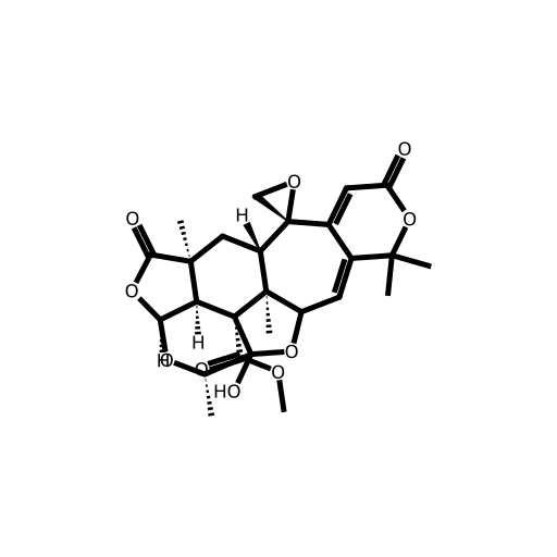 COC(=O)[C@@]12[C@H]3[C@@H]4OC(=O)[C@@]3(C)C[C@@H]3[C@@]5(CO5)C5=CC(=O)OC(C)(C)C5=CC(OC1(O)[C@H](C)O4)[C@]32C